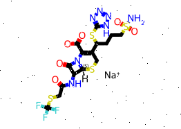 NS(=O)(=O)CCCC(Sc1nnn[nH]1)C1=C(C(=O)[O-])N2C(=O)C(NC(=O)CSC(F)(F)F)[C@@H]2SC1.[Na+]